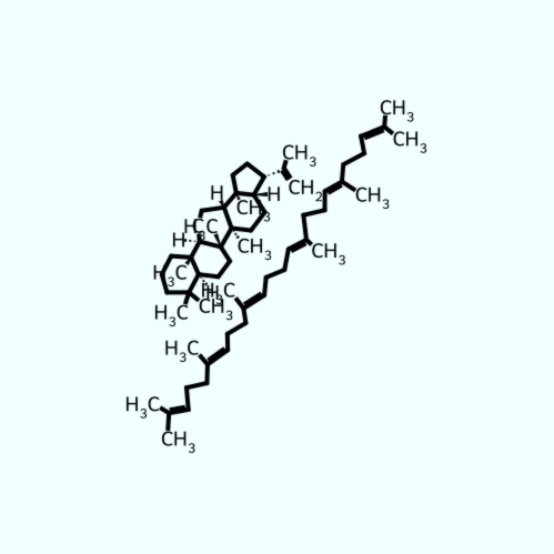 C=C(C)[C@H]1CC[C@]2(C)[C@H]3CC[C@@H]4[C@@]5(C)CCCC(C)(C)[C@@H]5CC[C@@]4(C)[C@]3(C)CC[C@@H]12.CC(C)=CCC/C(C)=C/CC/C(C)=C/CC/C=C(\C)CC/C=C(\C)CCC=C(C)C